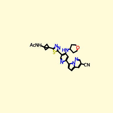 CC(=O)NC12CC(c3nnc(-c4cnc(-c5ccc6cc(C#N)cnn56)cc4NC4CCOCC4)s3)(C1)C2